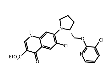 CCOC(=O)c1c[nH]c2cc(N3CCC[C@@H]3COc3ncccc3Cl)c(Cl)cc2c1=O